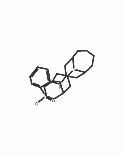 O=[N+]([O-])c1ccccc1NC1CC2CCCCC(C1)N2C1CC2CCCC(C2)C1